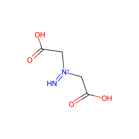 N=[N+](CC(=O)O)CC(=O)O